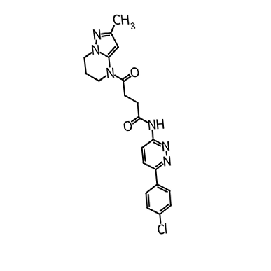 Cc1cc2n(n1)CCCN2C(=O)CCC(=O)Nc1ccc(-c2ccc(Cl)cc2)nn1